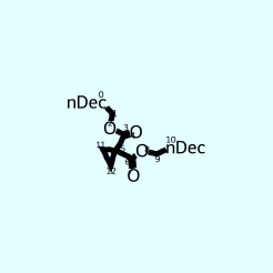 CCCCCCCCCCCOC(=O)C1(C(=O)OCCCCCCCCCCC)CC1